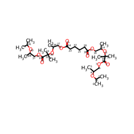 CC(C)OC(C)COC(=O)C(C)(C)OC(C)COC(=O)CCCCC(=O)OCC(C)OC(C)(C)C(=O)OCC(C)OC(C)C